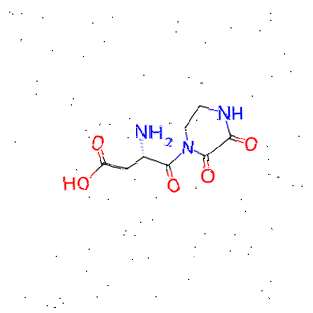 N[C@@H](CC(=O)O)C(=O)N1CCNC(=O)C1=O